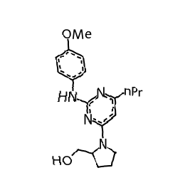 CCCc1cc(N2CCCC2CO)nc(Nc2ccc(OC)cc2)n1